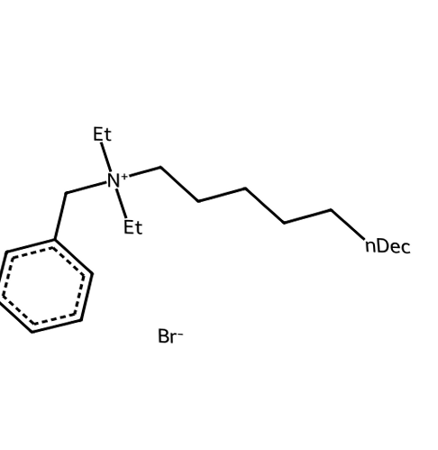 CCCCCCCCCCCCCCC[N+](CC)(CC)Cc1ccccc1.[Br-]